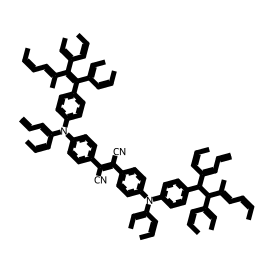 C=C/C=C(\C=C/C)C(c1ccc(N(C(/C=C\C)=C/C)c2ccc(/C(C#N)=C(\C#N)c3ccc(N(C(/C=C\C)=C/C=C)c4ccc(C(=C(C(\C)=C\C=C/C)/C(/C=C\C)=C/C)/C(/C=C\C)=C/C)cc4)cc3)cc2)cc1)C(/C(C)=C/C=C\C)C(/C=C\C)=C/C